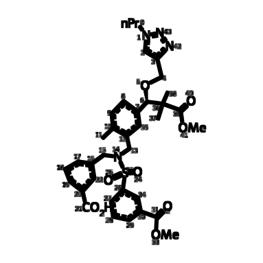 CCCn1cc(CO[C@H](c2ccc(C)c(CN(Cc3cccc(C(=O)O)c3)S(=O)(=O)c3cccc(C(=O)OC)c3)c2)C(C)(C)C(=O)OC)nn1